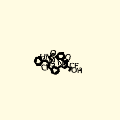 Cc1coc2ccc(S(=O)(=O)NC(c3cc4cccc(-c5cc([C@](C)(O)C(F)(F)F)ccn5)c4s3)c3ccccc3Cl)cc12